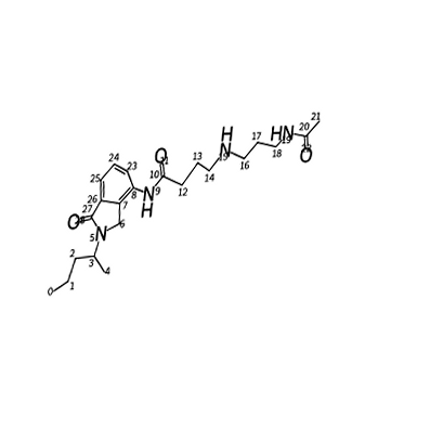 CCCC(C)N1Cc2c(NC(=O)CCCNCCCNC(C)=O)cccc2C1=O